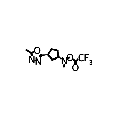 Cc1nnc([C@H]2CC[C@@H](N(C)OC(=O)C(F)(F)F)C2)o1